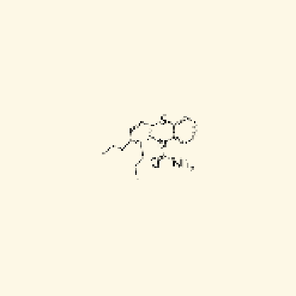 CCCc1ccc2c(c1CCC)N(C(N)=O)c1ccccc1S2